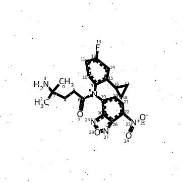 CC(C)(N)CCC(=O)N(c1ccc(F)cc1C1CC1)c1ccc([N+](=O)[O-])c2nonc12